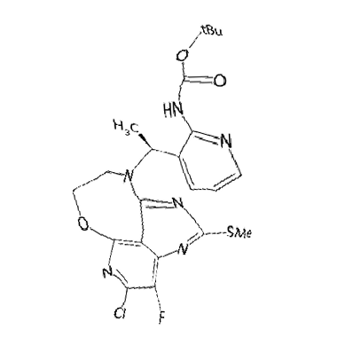 CSc1nc2c3c(nc(Cl)c(F)c3n1)OCCN2[C@@H](C)c1cccnc1NC(=O)OC(C)(C)C